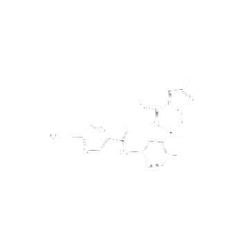 COc1cnc(C(=O)Nc2ccc(F)c(C3(C)Cn4nc(C)c(F)c4C(N)=N3)c2)cn1